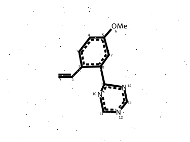 C=Cc1ccc(OC)cc1-c1ncncn1